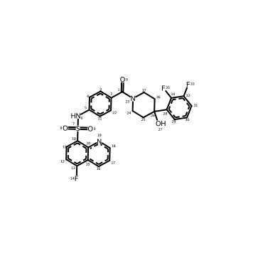 O=C(c1ccc(NS(=O)(=O)c2ccc(F)c3cccnc23)cc1)N1CCC(O)(c2cccc(F)c2F)CC1